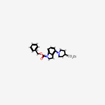 CCOC(=O)C1CCN(c2cccc3c2CCN3C(=O)OCc2ccccc2)CC1